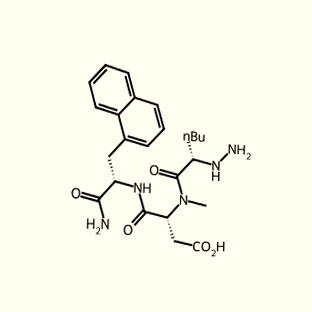 CCCC[C@H](NN)C(=O)N(C)[C@H](CC(=O)O)C(=O)N[C@@H](Cc1cccc2ccccc12)C(N)=O